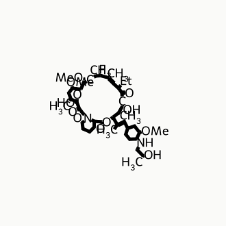 CCC1/C=C(\C)C(F)C(C)CC(OC)C2OC(O)(C(=O)C(=O)N3CCCCC3C(=O)OC(C(C)=CC3CCC(NCC(C)O)C(OC)C3)C(C)C(O)CC1=O)C(C)CC2OC